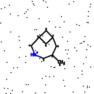 CC1CNCC2CC(C1)C2